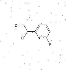 O=CC(Cl)c1cccc(F)n1